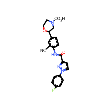 N#Cc1cc(C2CN(C(=O)O)CCO2)ccc1NC(=O)c1ccn(-c2ccc(F)cc2)n1